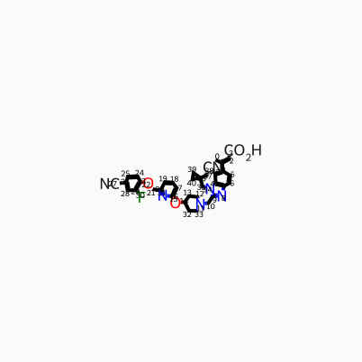 C/C(=C\C(=O)O)c1ccc2nc(CN3CCC(Oc4cccc(COc5ccc(C#N)cc5F)n4)CC3)n(CC3(CC#N)CC3)c2c1